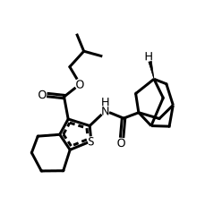 CC(C)COC(=O)c1c(NC(=O)C23CC4CC2C[C@@H](C4)C3)sc2c1CCCC2